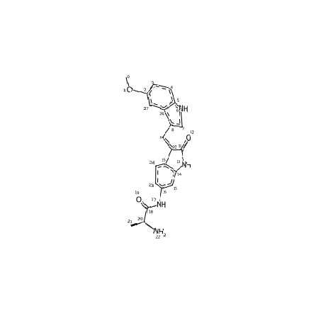 COc1ccc2[nH]cc(C=C3C(=O)Nc4cc(NC(=O)[C@H](C)N)ccc43)c2c1